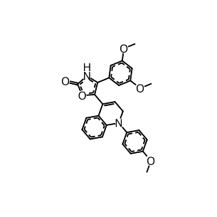 COc1ccc(N2CC=C(c3oc(=O)[nH]c3-c3cc(OC)cc(OC)c3)c3ccccc32)cc1